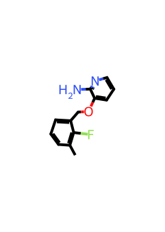 Cc1cccc(COc2cccnc2N)c1F